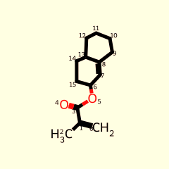 C=C(C)C(=O)OC1C=C2CCCCC2CC1